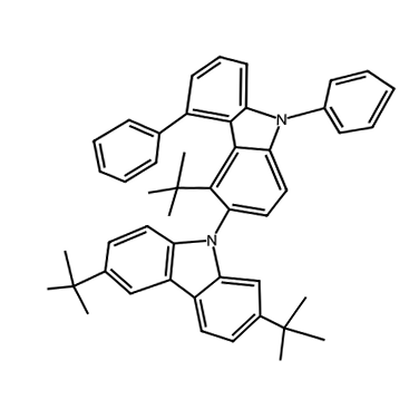 CC(C)(C)c1ccc2c(c1)c1ccc(C(C)(C)C)cc1n2-c1ccc2c(c1C(C)(C)C)c1c(-c3ccccc3)cccc1n2-c1ccccc1